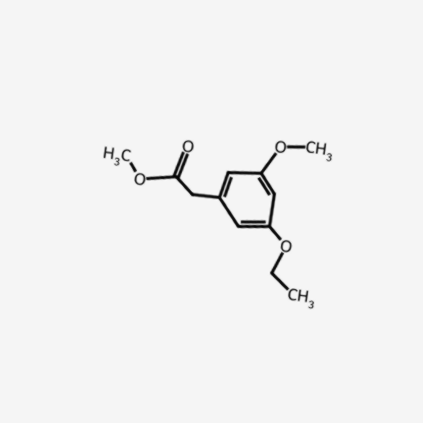 CCOc1cc(CC(=O)OC)cc(OC)c1